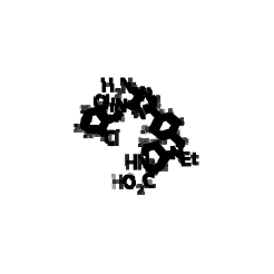 CCN(Cc1ccc(-c2cnc(N)c(NCc3c(Cl)cccc3Cl)n2)cc1)C1CCN[C@@H](C(=O)O)C1